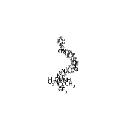 Cc1nc(N[C@H](C)c2cc([N+](=O)[O-])cc(C(F)(F)F)c2)c2cc(C3CCC(C(=O)N4CCN(CC5CCC6(CC5)CCN(C(=O)OCc5ccccc5)CC6)CC4)CC3)ncc2n1